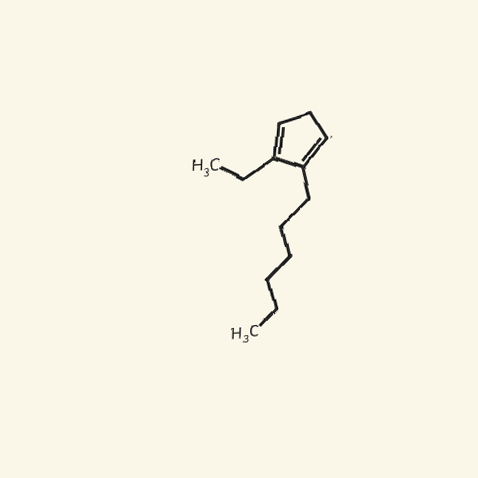 CCCCCCC1=[C]CC=C1CC